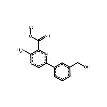 CCOC(=N)c1nc(-c2cccc(CO)c2)cnc1N